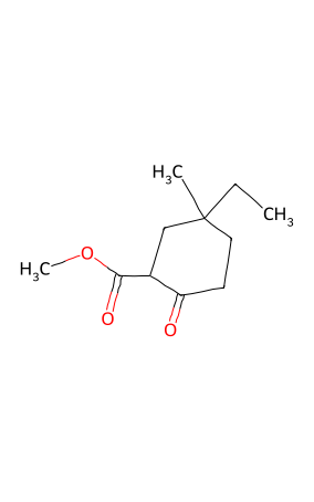 CCC1(C)CCC(=O)C(C(=O)OC)C1